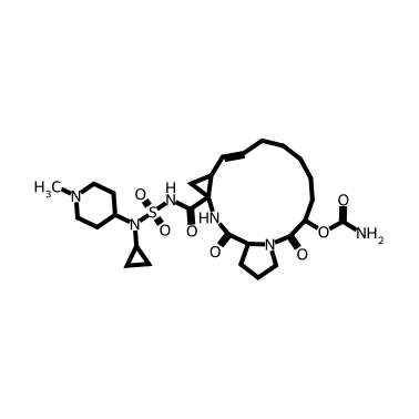 CN1CCC(N(C2CC2)S(=O)(=O)NC(=O)C23CC2/C=C/CCCCCC(OC(N)=O)C(=O)N2CCCC2C(=O)N3)CC1